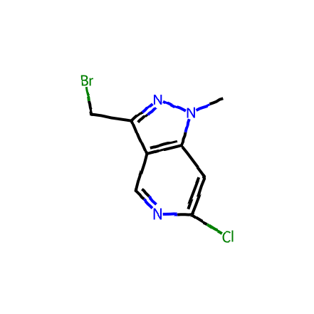 Cn1nc(CBr)c2cnc(Cl)cc21